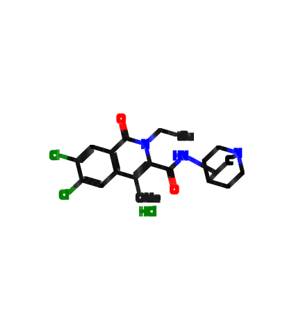 COc1c(C(=O)NC2CN3CCC2CC3)n(CC(C)(C)C)c(=O)c2cc(Cl)c(Cl)cc12.Cl